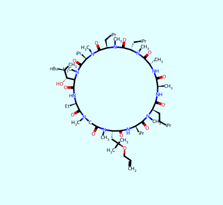 C=CCOC(C)(C)C[C@H]1C(=O)N[C@H](C(C)C)C(=O)N(C)[C@H](CCC(C)C)C(=O)N[C@H](C)C(=O)N[C@@H](C)C(=O)N(C)[C@@H](CC(C)C)C(=O)N(C)[C@H](CC(C)C)C(=O)N(C)[C@H](C(C)C)C(=O)N(C)C([C@H](O)[C@H](C)CCCC)C(=O)N[C@H](CC)C(=O)N(C)CC(=O)N1C